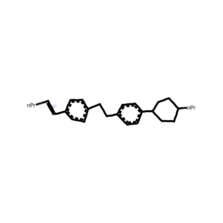 CCC/C=C/c1ccc(CCc2ccc(C3CCC(CCC)CC3)cc2)cc1